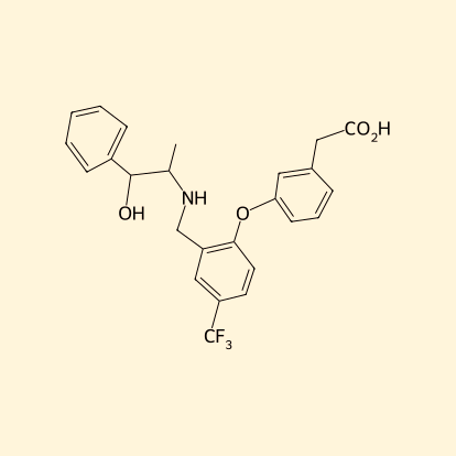 CC(NCc1cc(C(F)(F)F)ccc1Oc1cccc(CC(=O)O)c1)C(O)c1ccccc1